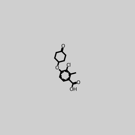 Cc1c(C(=O)O)ccc(OC2CCC(=O)CC2)c1Cl